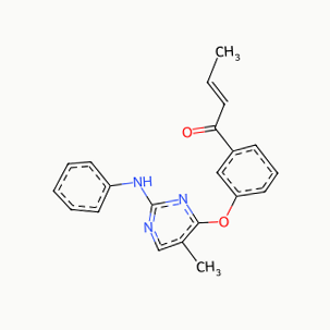 C/C=C/C(=O)c1cccc(Oc2nc(Nc3ccccc3)ncc2C)c1